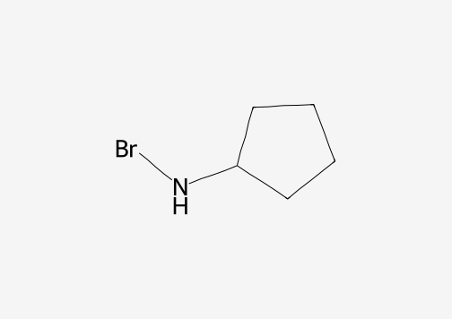 BrNC1CCCC1